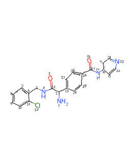 NC(C(=O)NCc1ccccc1Cl)c1ccc(C(=O)Nc2ccncc2)cc1